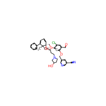 CC1(C)C(c2ccccc2)=CC=C[C@@]1(COc1cc(OCc2cncc(C#N)c2)c(C=O)cc1Cl)OCCCN1CCC(O)C1